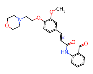 COc1cc(/C=C/C(=O)Nc2ccccc2C=O)ccc1OCCN1CCOCC1